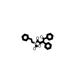 O=C(/C(=C1/OC(=O)N(CCc2ccccc2)C1=O)c1ccccc1)c1ccccc1